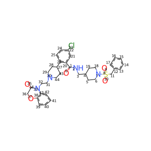 O=C(NCC1CCN(S(=O)(=O)Cc2ccccc2)CC1)c1cc(Cl)ccc1C1CCN(CCN2C(=O)COc3ccccc32)CC1